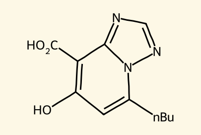 CCCCc1cc(O)c(C(=O)O)c2ncnn12